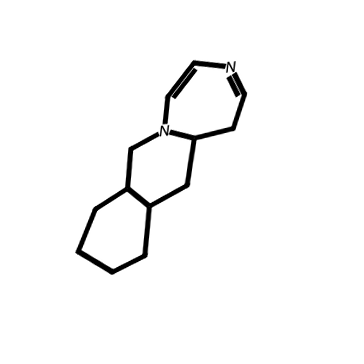 C1=CN2CC3CCCCC3CC2CC=N1